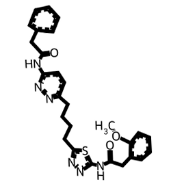 COc1ccccc1CC(=O)Nc1nnc(CCCCc2ccc(NC(=O)Cc3ccccc3)nn2)s1